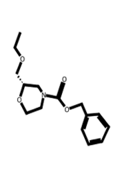 CCOC[C@@H]1CN(C(=O)OCc2ccccc2)CCO1